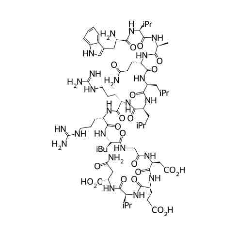 CC[C@H](C)[C@H](NC(=O)[C@H](CCCNC(=N)N)NC(=O)[C@H](CCCNC(=N)N)NC(=O)[C@H](CC(C)C)NC(=O)[C@H](CC(C)C)NC(=O)[C@H](CCC(N)=O)NC(=O)[C@H](C)NC(=O)[C@@H](NC(=O)[C@@H](N)Cc1c[nH]c2ccccc12)C(C)C)C(=O)NCC(=O)N[C@@H](CC(=O)O)C(=O)N[C@@H](CCC(=O)O)C(=O)N[C@H](C(=O)N[C@@H](CC(N)=O)C(=O)O)C(C)C